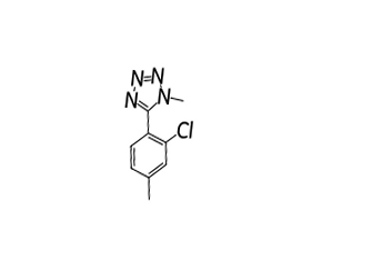 Cc1ccc(-c2nnnn2C)c(Cl)c1